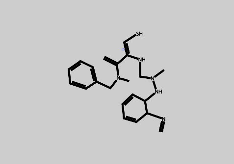 C=NC1C=CC=CC1NN(C)CN/C(=C\S)C(=C)N(C)Cc1ccccc1